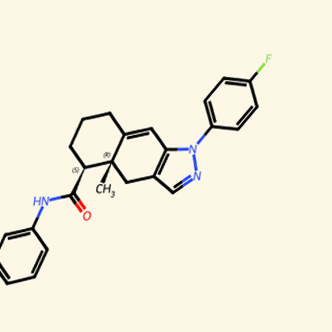 C[C@]12Cc3cnn(-c4ccc(F)cc4)c3C=C1CCC[C@@H]2C(=O)Nc1ccccc1